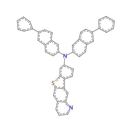 c1ccc(-c2ccc3cc(N(c4ccc5cc(-c6ccccc6)ccc5c4)c4ccc5c(c4)sc4cc6cccnc6cc45)ccc3c2)cc1